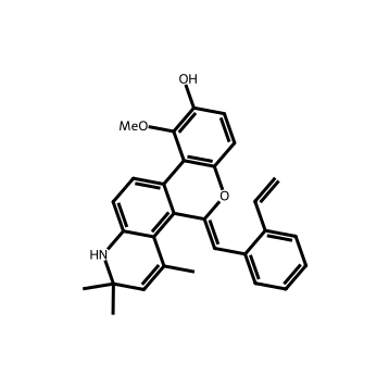 C=Cc1ccccc1/C=C1\Oc2ccc(O)c(OC)c2-c2ccc3c(c21)C(C)=CC(C)(C)N3